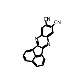 N#Cc1cc2nc3c(nc2cc1C#N)-c1cccc2cccc-3c12